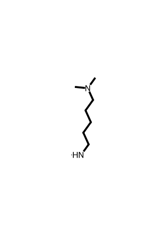 CN(C)CCCCC[NH]